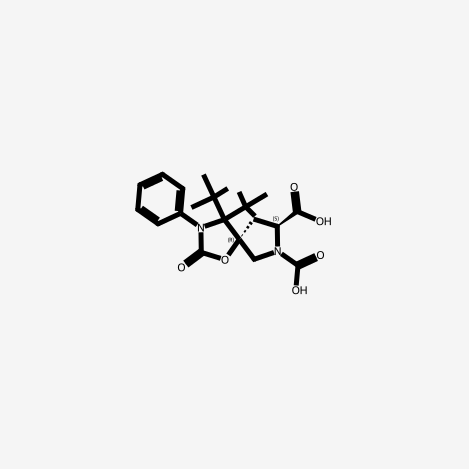 CC(C)(C)C1(C(C)(C)C)N(c2ccccc2)C(=O)O[C@@]12C[C@@H](C(=O)O)N(C(=O)O)C2